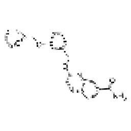 NC(=O)c1ccc2ncc(OCc3cccc(OCc4ccccc4)c3)nc2c1